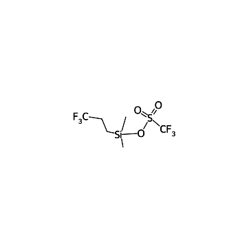 C[Si](C)(CCC(F)(F)F)OS(=O)(=O)C(F)(F)F